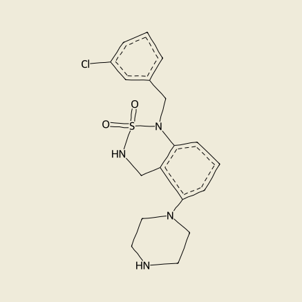 O=S1(=O)NCc2c(N3CCNCC3)cccc2N1Cc1cccc(Cl)c1